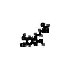 COc1cc2c(cc1Cl)nc(OC)n2CCCNC(C)=O